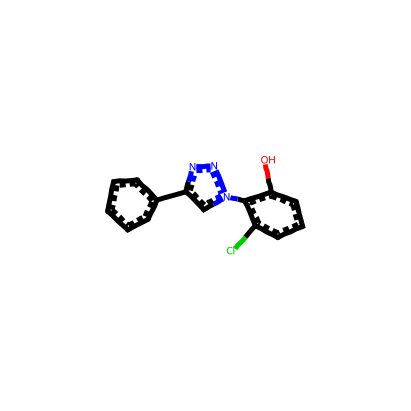 Oc1cccc(Cl)c1-n1cc(-c2ccccc2)nn1